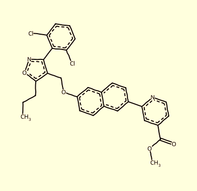 CCCc1onc(-c2c(Cl)cccc2Cl)c1COc1ccc2cc(-c3cc(C(=O)OC)ccn3)ccc2c1